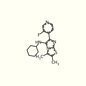 Cc1sc2nc(-c3ccncc3F)c(NC3CCCCC3)n2c1C